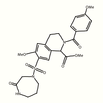 COC(=O)C1c2cc(S(=O)(=O)N3CCCNC(=O)C3)c(OC)cc2CCN1C(=O)c1ccc(OC)cc1